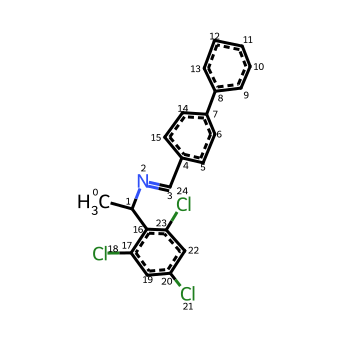 CC(N=Cc1ccc(-c2ccccc2)cc1)c1c(Cl)cc(Cl)cc1Cl